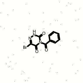 O=C(c1ccccc1)n1c(=O)[nH]nc(Br)c1=O